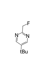 CC(C)(C)c1cnc(CF)nc1